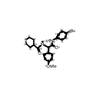 COc1ccc(C(C(=O)Nc2ccc(C(C)(C)C)cc2)N(C)C(=O)C2CCSCC2)cc1